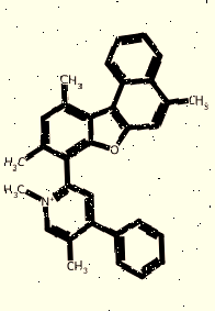 Cc1c[n+](C)c(-c2c(C)cc(C)c3c2oc2cc(C)c4ccccc4c23)cc1-c1ccccc1